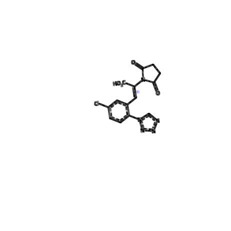 O=C(O)/C(=C\c1cc(Cl)ccc1-n1cnnn1)N1C(=O)CCC1=O